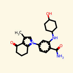 Cc1cn(-c2ccc(C(N)=O)c(NC3CCC(O)CC3)c2)c2c1C(=O)CCC2